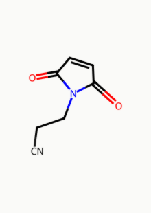 N#CCCN1C(=O)C=CC1=O